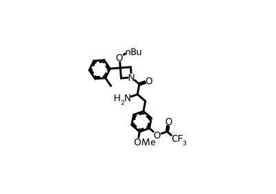 CCCCOC1(c2ccccc2C)CN(C(=O)C(N)Cc2ccc(OC)c(OC(=O)C(F)(F)F)c2)C1